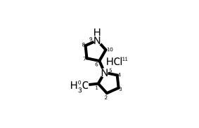 CC1CCCN1C1CCNC1.Cl